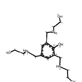 OCCNCc1cc(CNCCO)c(O)c(CNCCO)c1